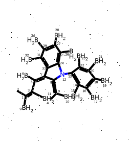 B/C(C)=C(B)/C(B)=c1\c(=C(\B)C)n(-c2c(B)c(B)c(B)c(B)c2B)c2c(B)c(B)c(B)c(B)c12